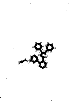 N#CCOc1cccc(-c2ccccc2-c2cc(-c3ccccc3)c(-c3ccccc3)o2)c1